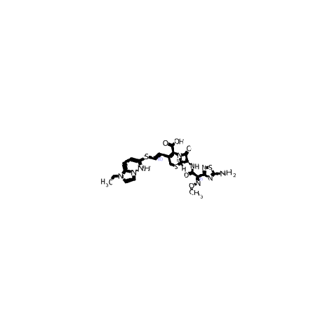 CCN1C=CN2NC(S/C=C/C3=C(C(=O)O)N4C(=O)[C@@H](NC(=O)/C(=N\OC)c5nsc(N)n5)[C@@H]4SC3)=CC=C12